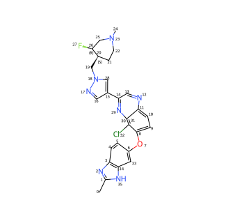 Cc1nc2ccc(Oc3ccc4ncc(-c5cnn(C[C@@H]6CCN(C)C[C@@H]6F)c5)nc4c3Cl)cc2[nH]1